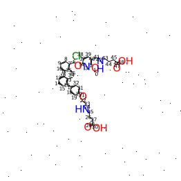 COc1nc(OCc2cccc(-c3cccc(-c4ccc(OCCNCCCC(=O)O)cc4)c3C)c2C)c(Cl)cc1CNCCCC(=O)O